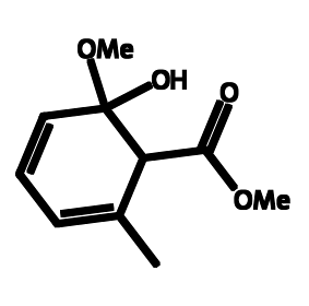 COC(=O)C1C(C)=CC=CC1(O)OC